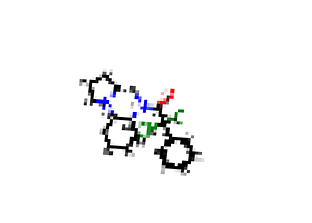 CN(C(=O)C(Cl)(Cl)c1ccccc1)C1CCCCC1N1CCCC1